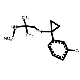 CC(C)(CNC1(c2cccc(Cl)c2)CC1)NC(=O)O